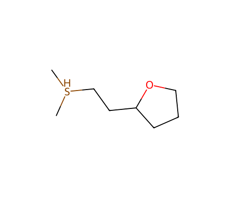 C[SH](C)CCC1CCCO1